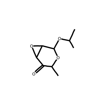 CC(C)OC1OC(C)C(=O)C2OC12